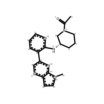 CC(=O)N1CCC[C@H](Nc2ncccc2-c2cnc3ccn(C)c3n2)C1